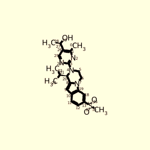 Cc1nc(N2CCn3c(cc4ccc(S(C)(=O)=O)cc43)[C@H]2C(C)C)ncc1[C@@H](C)O